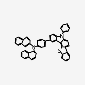 c1ccc(-n2c3ccc(-c4ccc(N(c5ccc6ccccc6c5)c5cccc6ccccc56)cc4)cc3c3c4sc5ccccc5c4ccc32)cc1